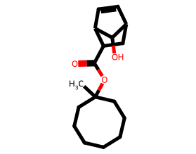 CC1(OC(=O)C2CC3C=CC2C3O)CCCCCCC1